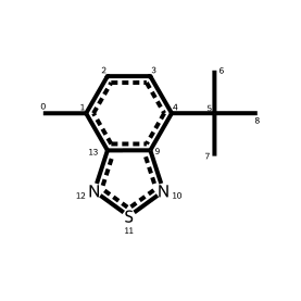 Cc1ccc(C(C)(C)C)c2nsnc12